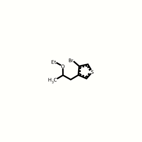 CCOC(C)Cc1cscc1Br